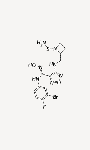 NSN1CCC1CNc1nonc1/C(=N/O)Nc1ccc(F)c(Br)c1